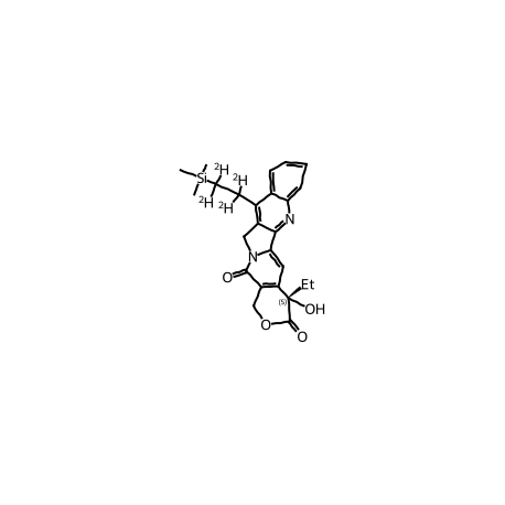 [2H]C([2H])(c1c2c(nc3ccccc13)-c1cc3c(c(=O)n1C2)COC(=O)[C@]3(O)CC)C([2H])([2H])[Si](C)(C)C